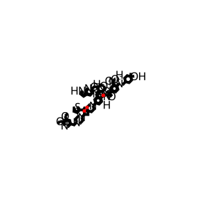 COc1cc(CN2CCN(C3CC4(CCN(c5ccc(C(=O)NS(=O)(=O)c6ccc(NCC7CCC(C)(O)CC7)c([N+](=O)[O-])c6)c(N6c7cc8cc[nH]c8nc7O[C@H]7COCC[C@@H]76)c5)CC4)C3)[C@H](c3ccsc3C(C)C)C2)cnc1OC